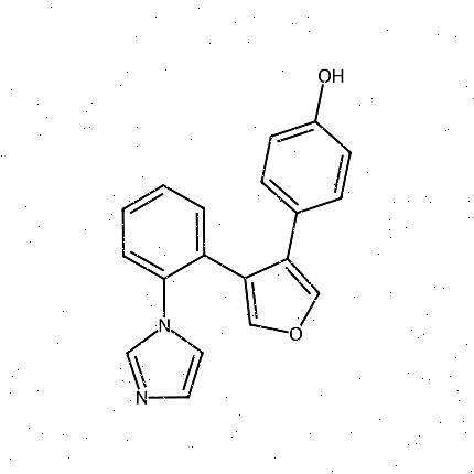 Oc1ccc(-c2cocc2-c2ccccc2-n2ccnc2)cc1